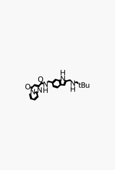 CC(C)(C)CNCc1cc2ccc(CNC(=O)c3cc(=O)n4ccccc4n3)cc2[nH]1